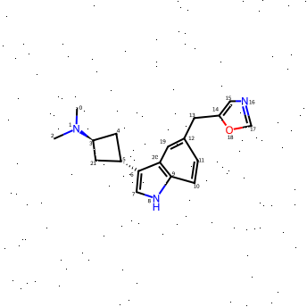 CN(C)[C@H]1C[C@H](c2c[nH]c3ccc(Cc4cnco4)cc32)C1